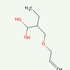 C=CCOCC(CC)C(O)O